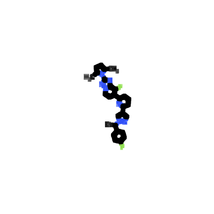 CCC(c1ccc(F)cc1)n1cc(-c2cccc(-c3ccn4nc(-n5c(C)ccc5C)nc4c3F)n2)cn1